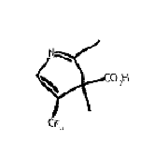 CC1=NC=C(C(F)(F)F)C1(C)C(=O)O